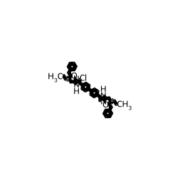 CCCN(Cc1ncc(-c2ccc(-c3ccc(-c4[nH]c(CN(CCC)C(=O)Cc5ccccc5)nc4Cl)cc3)cc2)[nH]1)C(=O)Cc1ccccc1